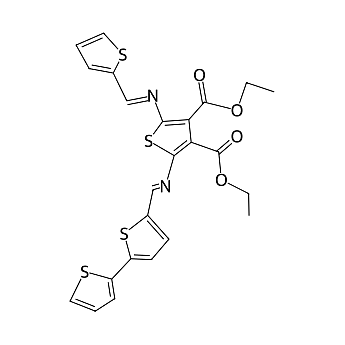 CCOC(=O)c1c(N=Cc2cccs2)sc(N=Cc2ccc(-c3cccs3)s2)c1C(=O)OCC